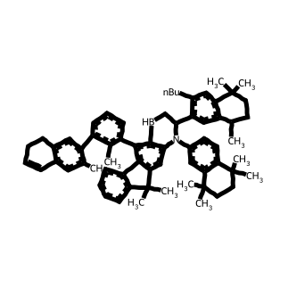 CCCCc1cc2c(cc1C1CBc3c(cc4c(c3-c3cccc(-c5cc6c(cc5C)C=CCC6)c3C)-c3ccccc3C4(C)C)N1c1ccc3c(c1)C(C)(C)CCC3(C)C)C(C)CCC2(C)C